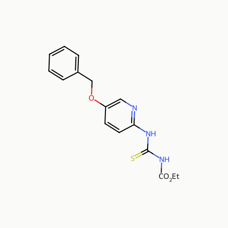 CCOC(=O)NC(=S)Nc1ccc(OCc2ccccc2)cn1